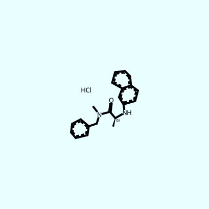 C[C@H](Nc1ccc2ccccc2c1)C(=O)N(C)Cc1ccccc1.Cl